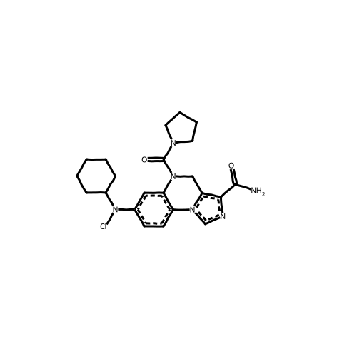 NC(=O)c1ncn2c1CN(C(=O)N1CCCC1)c1cc(N(Cl)C3CCCCC3)ccc1-2